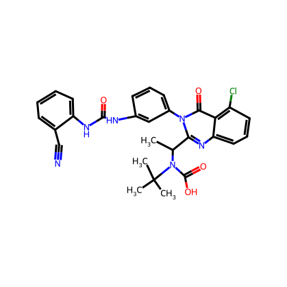 CC(c1nc2cccc(Cl)c2c(=O)n1-c1cccc(NC(=O)Nc2ccccc2C#N)c1)N(C(=O)O)C(C)(C)C